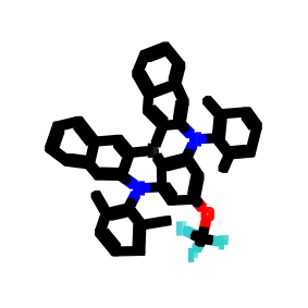 Cc1cccc(C)c1N1c2cc3ccccc3cc2B2c3cc4ccccc4cc3N(c3c(C)cccc3C)c3cc(OC(F)(F)F)cc1c32